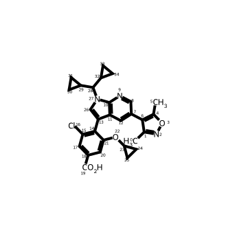 Cc1noc(C)c1-c1cnc2c(c1)c(-c1c(Cl)cc(C(=O)O)cc1OC1CC1)cn2C(C1CC1)C1CC1